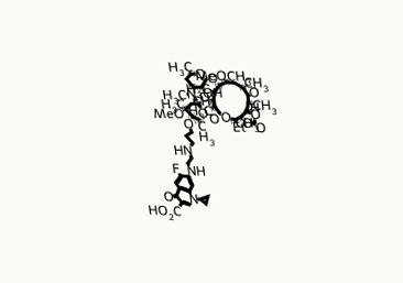 CC[C@@H]1OC(=O)[C@H](C)[C@H](O[C@@H]2C[C@](C)(OC)[C@H](OCCCNCCNc3cc4c(cc3F)c(=O)c(C(=O)O)cn4C3CC3)[C@H](C)O2)[C@@H](C)[C@H](O[C@H]2O[C@@H](C)C[C@@H](N(C)C)[C@H]2O)[C@](C)(OC)C[C@H](C)C(=O)[C@H](C)[C@H]2OC(=O)O[C@@]12C